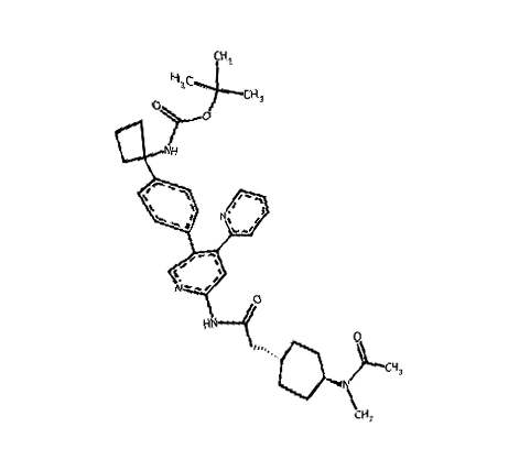 CC(=O)N(C)[C@H]1CC[C@H](CC(=O)Nc2cc(-c3ccccn3)c(-c3ccc(C4(NC(=O)OC(C)(C)C)CCC4)cc3)cn2)CC1